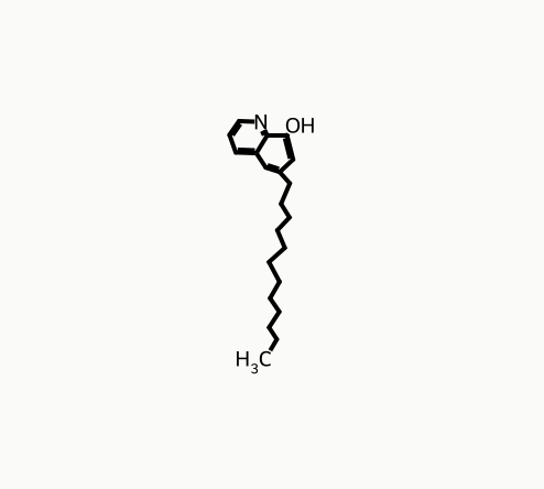 CCCCCCCCCCCCc1cc(O)c2ncccc2c1